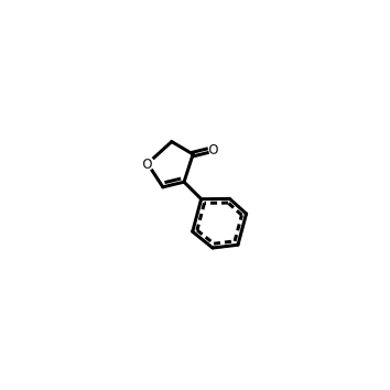 O=C1COC=C1c1ccccc1